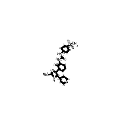 CC(C)(C)c1nc(-c2cccc(NC(=O)Nc3ccc(S(C)(=O)=O)cc3)c2F)c(-c2ccncc2)[nH]1